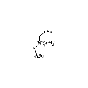 CCCCCNCCCCC.[SnH2]